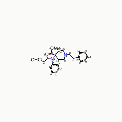 COC(=O)C1(N(CCC=O)c2ccccc2)CCN(CCc2ccccc2)CC1